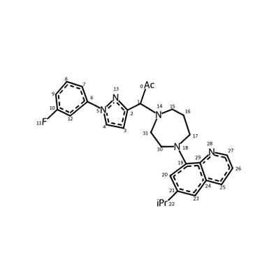 CC(=O)C(c1ccn(-c2cccc(F)c2)n1)N1CCCN(c2cc(C(C)C)cc3cccnc23)CC1